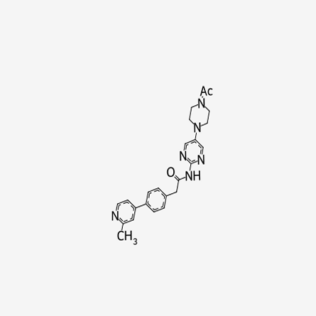 CC(=O)N1CCN(c2cnc(NC(=O)Cc3ccc(-c4ccnc(C)c4)cc3)nc2)CC1